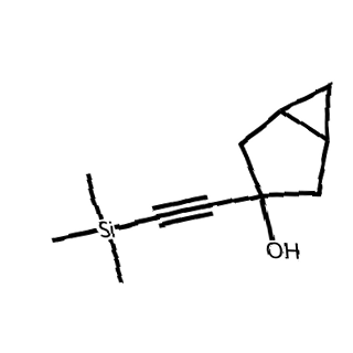 C[Si](C)(C)C#CC1(O)CC2CC2C1